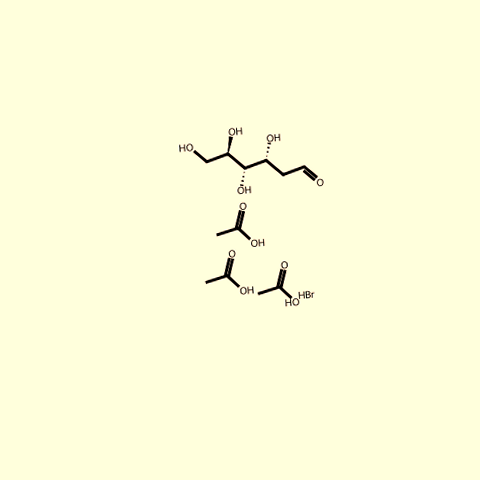 Br.CC(=O)O.CC(=O)O.CC(=O)O.O=CC[C@@H](O)[C@H](O)[C@H](O)CO